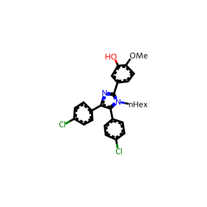 CCCCCCn1c(-c2ccc(OC)c(O)c2)nc(-c2ccc(Cl)cc2)c1-c1ccc(Cl)cc1